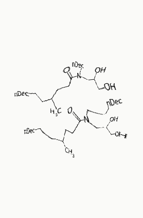 CCCCCCCCCCCCC(C)CCC(=O)N(CCCCCCCCCC)CC(O)CO.CCCCCCCCCCCCC(C)CCC(=O)N(CCCCCCCCCCCC)CC(O)CO